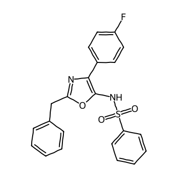 O=S(=O)(Nc1oc(Cc2ccccc2)nc1-c1ccc(F)cc1)c1ccccc1